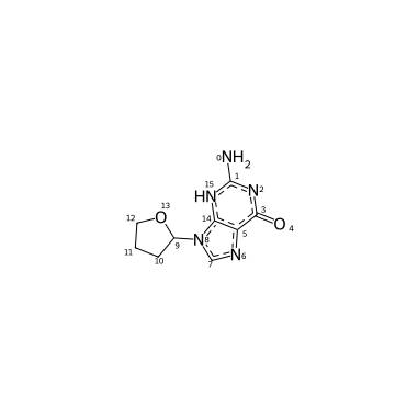 Nc1nc(=O)c2ncn(C3CCCO3)c2[nH]1